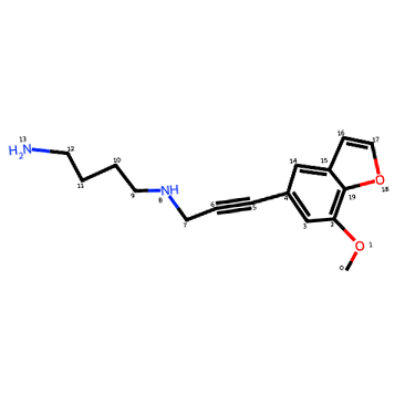 COc1cc(C#CCNCCCCN)cc2ccoc12